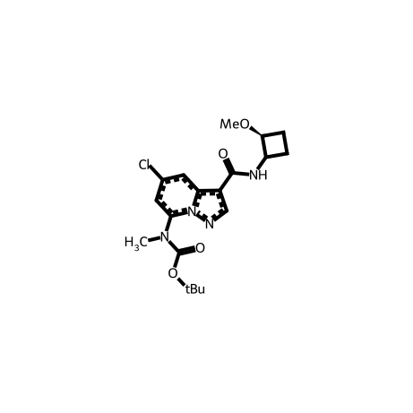 CO[C@H]1CCC1NC(=O)c1cnn2c(N(C)C(=O)OC(C)(C)C)cc(Cl)cc12